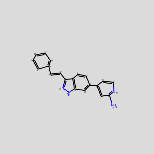 Nc1cc(-c2ccc3c(/C=C/c4ccccc4)n[nH]c3c2)ccn1